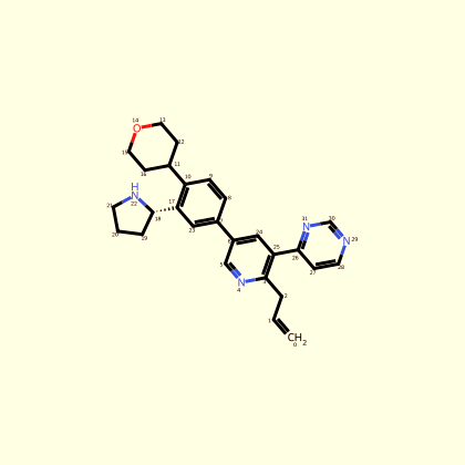 C=CCc1ncc(-c2ccc(C3CCOCC3)c([C@@H]3CCCN3)c2)cc1-c1ccncn1